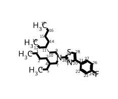 CCCCC(CC)CN(CC[C@H](CC)CCCC)c1nc(-c2ccc(F)cc2)cs1